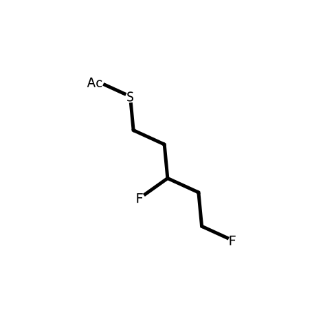 CC(=O)SCCC(F)CCF